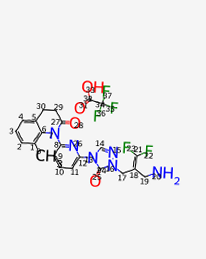 Cc1cccc2c1N(c1cccc(-n3cnn(CC(CN)=C(F)F)c3=O)n1)C(=O)CC2.O=C(O)C(F)(F)F